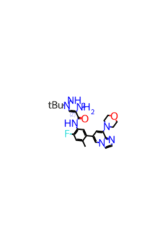 Cc1cc(F)c(NC(=O)/C(N)=C/N(N)C(C)(C)C)cc1-c1cc(N2CCOCC2)c2nccn2c1